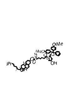 COc1ccc(C(OCC2CC(O)CN2C(=O)CCCCCNC(=O)O[C@H]2CC[C@@]3(C)C(=CC[C@H]4[C@@H]5CC[C@H]([C@H](C)CCCC(C)C)[C@@]5(C)CC[C@@H]43)C2)(c2ccccc2)c2ccc(OC)cc2)cc1